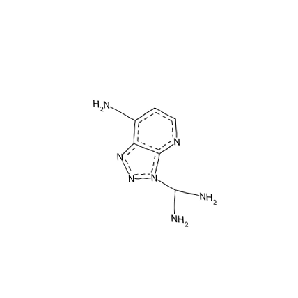 Nc1ccnc2c1nnn2C(N)N